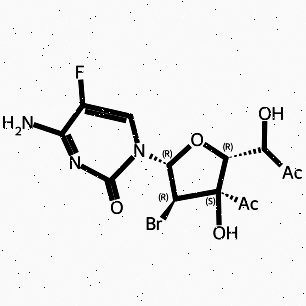 CC(=O)C(O)[C@H]1O[C@@H](n2cc(F)c(N)nc2=O)[C@H](Br)[C@@]1(O)C(C)=O